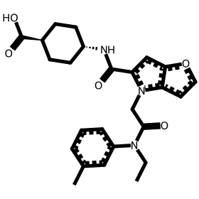 CCN(C(=O)Cn1c(C(=O)N[C@H]2CC[C@H](C(=O)O)CC2)cc2occc21)c1cccc(C)c1